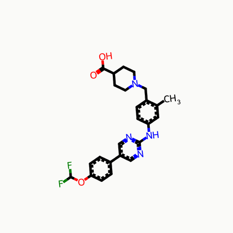 Cc1cc(Nc2ncc(-c3ccc(OC(F)F)cc3)cn2)ccc1CN1CCC(C(=O)O)CC1